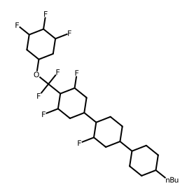 CCCCC1CCC(C2CCC(C3CC(F)C(C(F)(F)OC4CC(F)C(F)C(F)C4)C(F)C3)C(F)C2)CC1